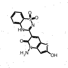 Nn1c(=O)c(C2=NS(=O)(=O)c3ccccc3N2)cc2sc(O)cc21